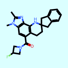 Cc1nc2c3c(c(C(=O)N4CC(F)C4)cc2n1C)CCC1(Cc2ccccc2C1)N3